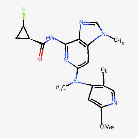 CCc1cnc(OC)cc1N(C)c1cc2c(ncn2C)c(NC(=O)[C@H]2C[C@H]2F)n1